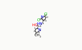 Cc1ccc(C(O)CNCc2ccc(Cl)nc2Cl)nc1